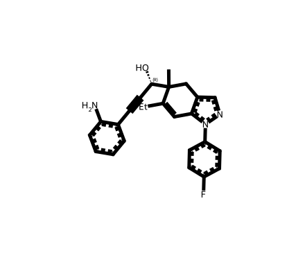 CCC1=Cc2c(cnn2-c2ccc(F)cc2)CC1(C)[C@@H](O)C#Cc1ccccc1N